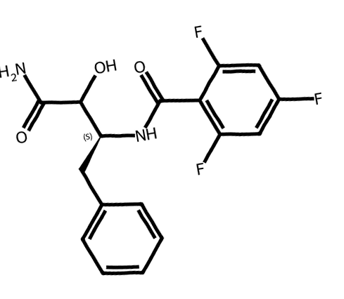 NC(=O)C(O)[C@H](Cc1ccccc1)NC(=O)c1c(F)cc(F)cc1F